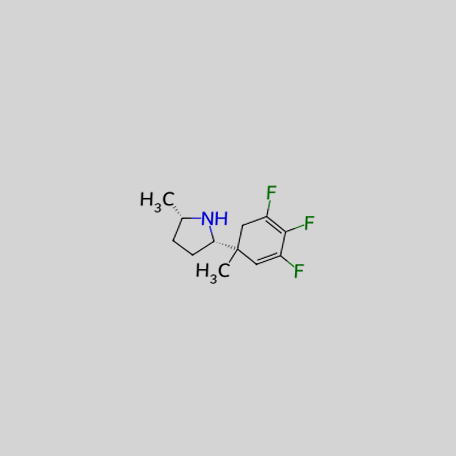 C[C@H]1CC[C@@H](C2(C)C=C(F)C(F)=C(F)C2)N1